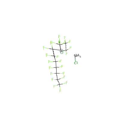 FC(F)(F)C(F)(F)C(F)(F)C(F)(F)C(F)(F)C(F)(F)C(F)(F)[Si](Cl)(C(F)(F)F)C(F)(F)C(F)(F)F.[SiH3]Cl